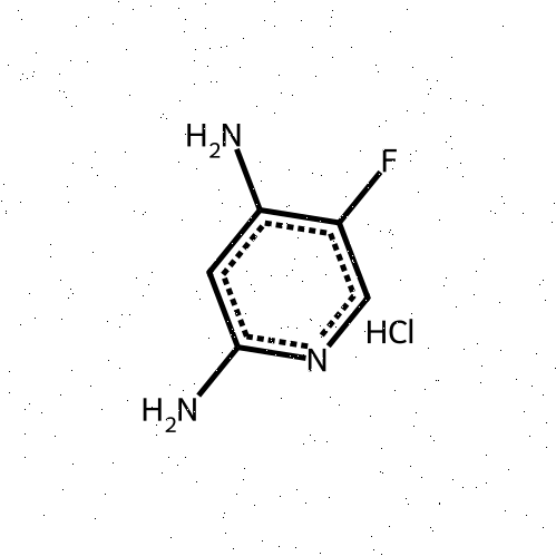 Cl.Nc1cc(N)c(F)cn1